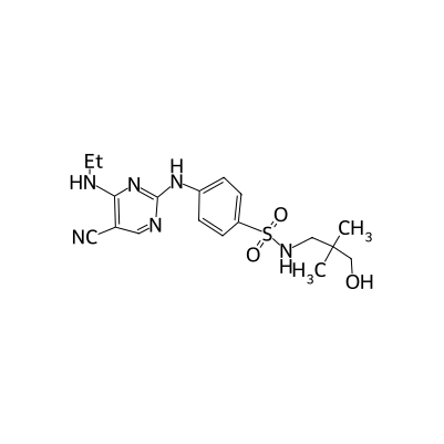 CCNc1nc(Nc2ccc(S(=O)(=O)NCC(C)(C)CO)cc2)ncc1C#N